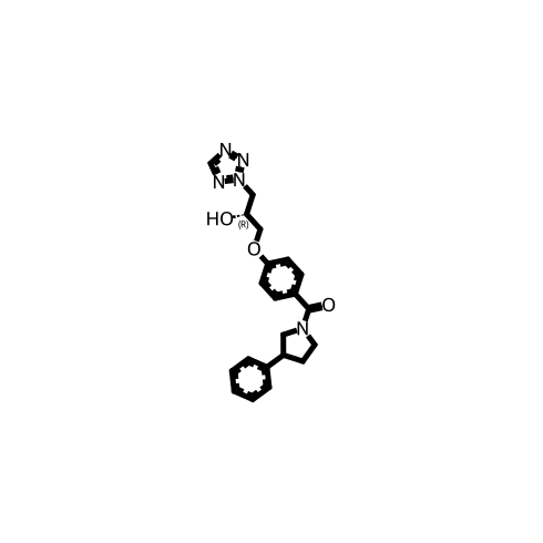 O=C(c1ccc(OC[C@H](O)Cn2ncnn2)cc1)N1CCC(c2ccccc2)C1